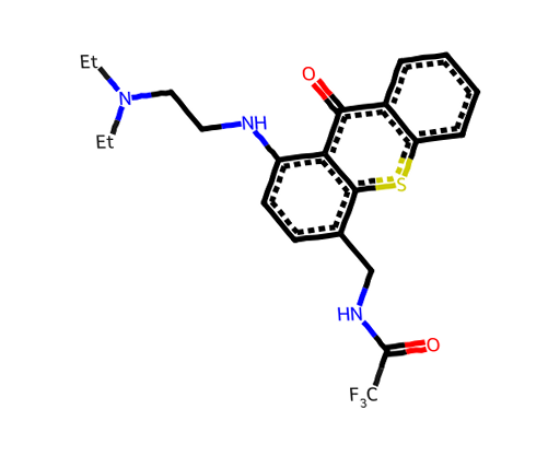 CCN(CC)CCNc1ccc(CNC(=O)C(F)(F)F)c2sc3ccccc3c(=O)c12